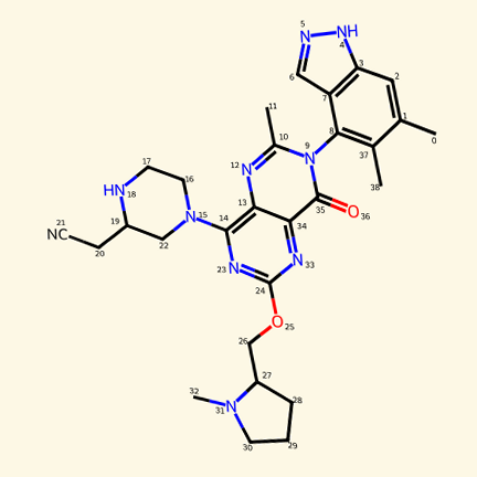 Cc1cc2[nH]ncc2c(-n2c(C)nc3c(N4CCNC(CC#N)C4)nc(OCC4CCCN4C)nc3c2=O)c1C